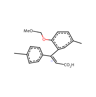 COCOc1ccc(C)cc1/C(=C\C(=O)O)c1ccc(C)cc1